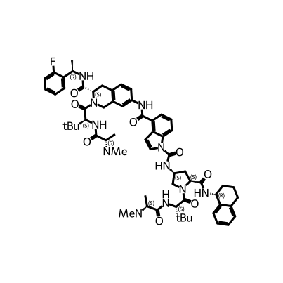 CN[C@@H](C)C(=O)N[C@H](C(=O)N1Cc2cc(NC(=O)c3cccc4c3ccn4C(=O)N[C@H]3C[C@@H](C(=O)N[C@@H]4CCCc5ccccc54)N(C(=O)[C@@H](NC(=O)[C@H](C)NC)C(C)(C)C)C3)ccc2C[C@H]1C(=O)N[C@H](C)c1ccccc1F)C(C)(C)C